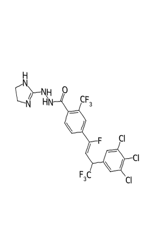 O=C(NNC1=NCCN1)c1ccc(/C(F)=C/C(c2cc(Cl)c(Cl)c(Cl)c2)C(F)(F)F)cc1C(F)(F)F